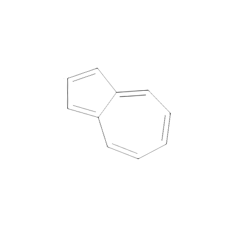 [c]1[c]c2cccccc-2c1